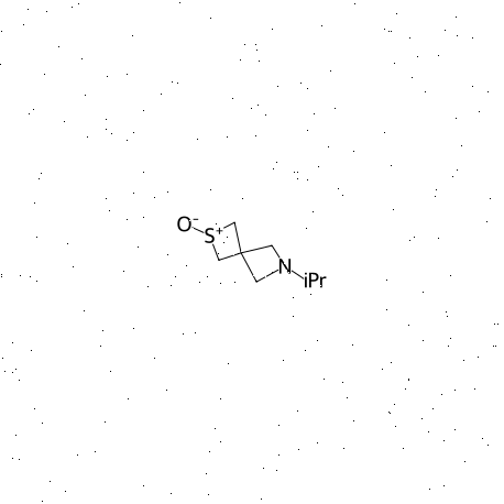 CC(C)N1CC2(C1)C[S+]([O-])C2